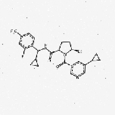 CC[C@@H]1CC[C@H](C(=O)NC(c2ccc(C(F)(F)F)cc2F)C2CC2)N1C(=O)c1cncc(C2CC2)c1